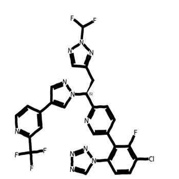 Fc1c(Cl)ccc(-n2cnnn2)c1-c1ccc([C@H](Cc2cnn(C(F)F)n2)n2cc(-c3ccnc(C(F)(F)F)c3)cn2)nc1